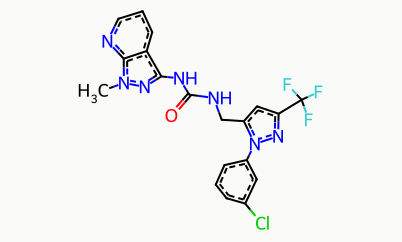 Cn1nc(NC(=O)NCc2cc(C(F)(F)F)nn2-c2cccc(Cl)c2)c2cccnc21